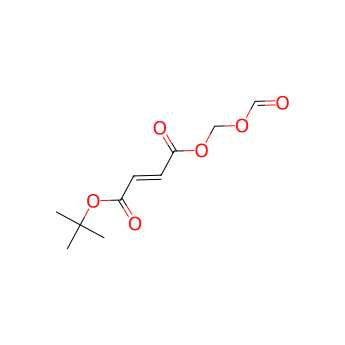 CC(C)(C)OC(=O)/C=C/C(=O)OCOC=O